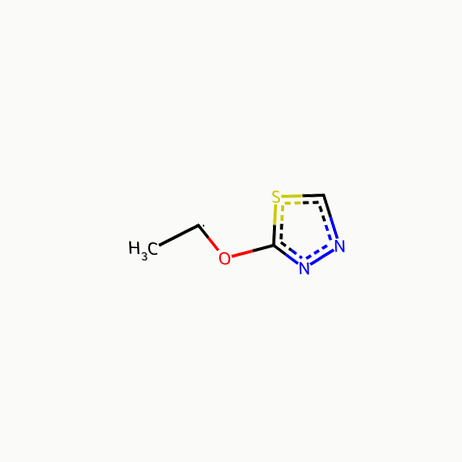 C[CH]Oc1nncs1